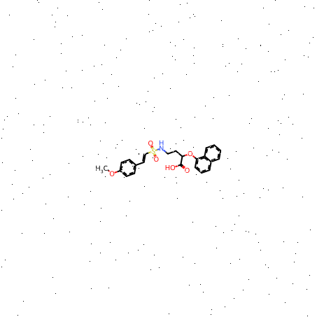 COc1ccc(C=CS(=O)(=O)NCCC(Oc2cccc3ccccc23)C(=O)O)cc1